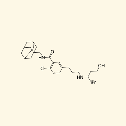 CC(C)C(CCO)NCCCc1ccc(Cl)c(C(=O)NCC23CC4CC(CC(C4)C2)C3)c1